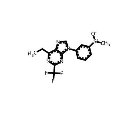 CCc1nc(C(F)(F)F)nc2c1ncn2-c1cccc([S+](C)[O-])c1